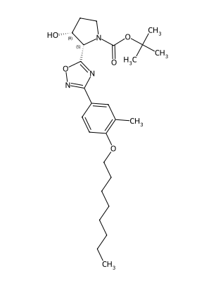 CCCCCCCCOc1ccc(-c2noc([C@@H]3[C@H](O)CCN3C(=O)OC(C)(C)C)n2)cc1C